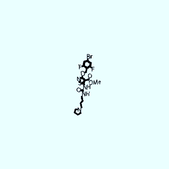 COC(=O)c1c(OCc2c(F)cc(Br)cc2F)nsc1NC(=O)NCCCCN1CCCC1